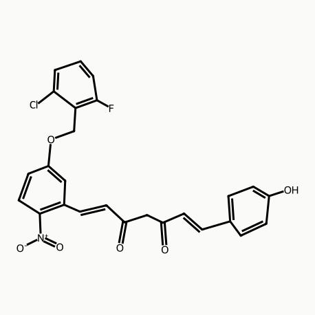 O=C(/C=C/c1ccc(O)cc1)CC(=O)/C=C/c1cc(OCc2c(F)cccc2Cl)ccc1[N+](=O)[O-]